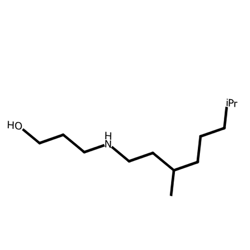 CC(C)CCCC(C)CCNCCCO